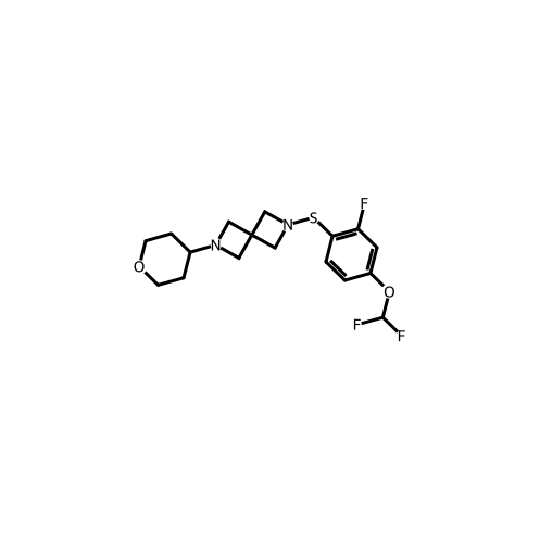 Fc1cc(OC(F)F)ccc1SN1CC2(C1)CN(C1CCOCC1)C2